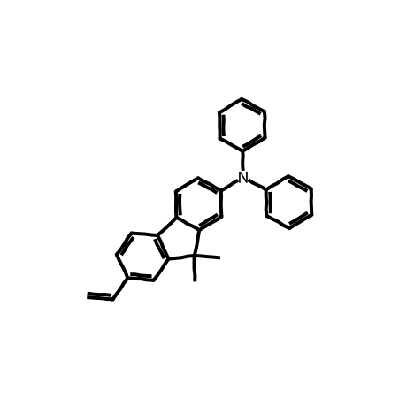 C=Cc1ccc2c(c1)C(C)(C)c1cc(N(c3ccccc3)c3ccccc3)ccc1-2